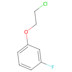 Fc1cccc(OCCCl)c1